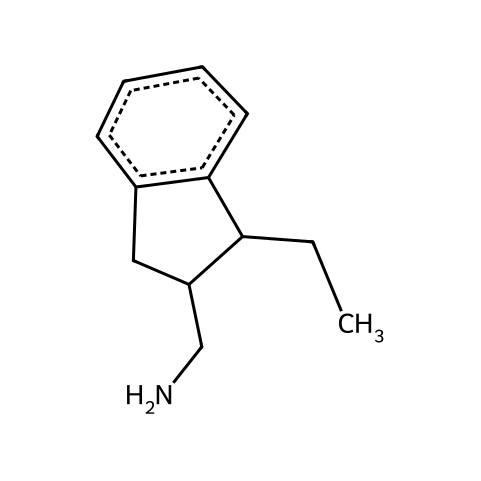 CCC1c2ccccc2CC1CN